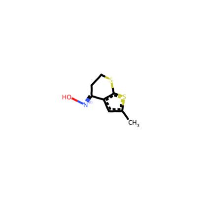 Cc1cc2c(s1)SCC/C2=N\O